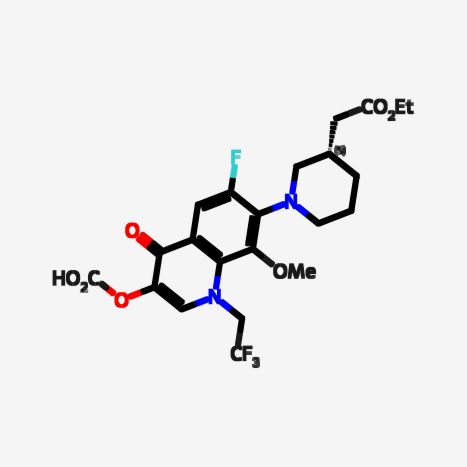 CCOC(=O)C[C@@H]1CCCN(c2c(F)cc3c(=O)c(OC(=O)O)cn(CC(F)(F)F)c3c2OC)C1